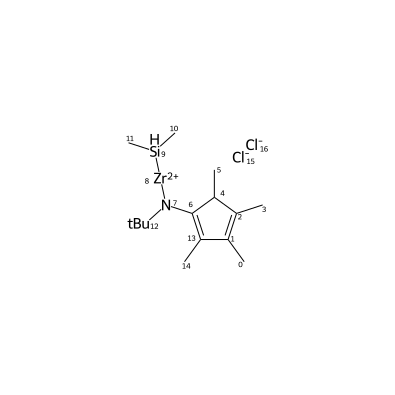 CC1=C(C)C(C)C([N]([Zr+2][SiH](C)C)C(C)(C)C)=C1C.[Cl-].[Cl-]